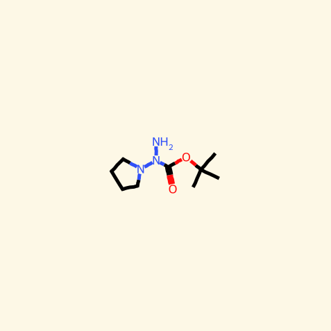 CC(C)(C)OC(=O)N(N)N1CCCC1